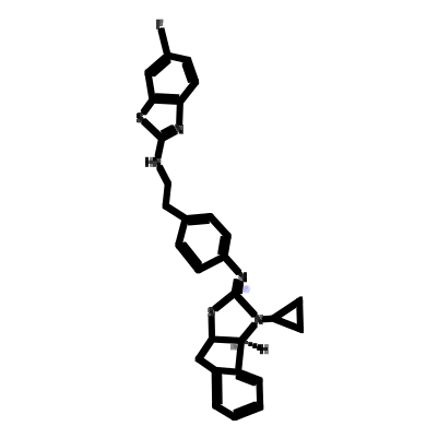 Fc1ccc2nc(NCCc3ccc(/N=C4\SC5Cc6ccccc6[C@@H]5N4C4CC4)cc3)sc2c1